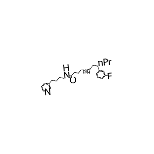 CCCC(CC1C[C@@H]1CCCC(=O)NCCCCc1cccnc1)c1cccc(F)c1